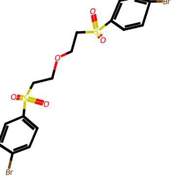 O=S(=O)(CCOCCS(=O)(=O)c1ccc(Br)cc1)c1ccc(Br)cc1